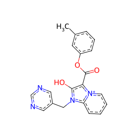 Cc1cccc(OC(=O)c2c(O)n(Cc3cncnc3)c3cccc[n+]23)c1